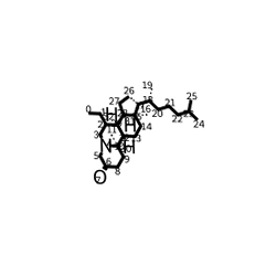 CCC1CN2CC(=O)CC[C@]2(C)[C@H]2CC[C@]3(C)[C@@H]([C@H](C)CCCC(C)C)CC[C@H]3[C@H]12